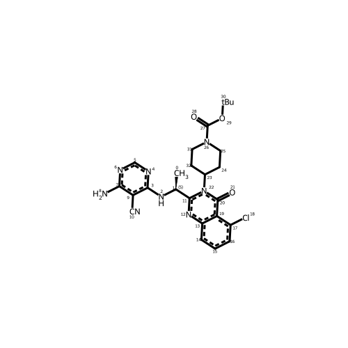 C[C@H](Nc1ncnc(N)c1C#N)c1nc2cccc(Cl)c2c(=O)n1C1CCN(C(=O)OC(C)(C)C)CC1